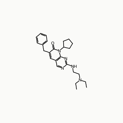 CCN(CC)CCNc1ncc2cc(Cc3ccccc3)c(=O)n(C3CCCC3)c2n1